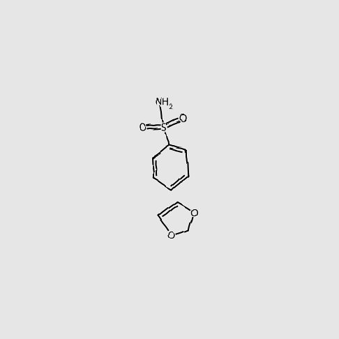 C1=COCO1.NS(=O)(=O)c1ccccc1